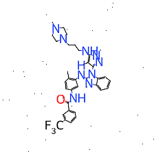 Cc1ccc(NC(=O)c2cccc(C(F)(F)F)c2)cc1Nc1nc2ccccc2n1-c1nn(C)c(NCCCN2CCN(C)CC2)c1C